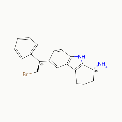 N[C@@H]1CCCc2c1[nH]c1ccc([C@@H](CBr)c3ccccc3)cc21